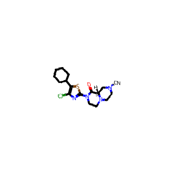 N#CN1CCN2CCN(c3nc(Cl)c(C4CCCCC4)s3)C(=O)[C@@H]2C1